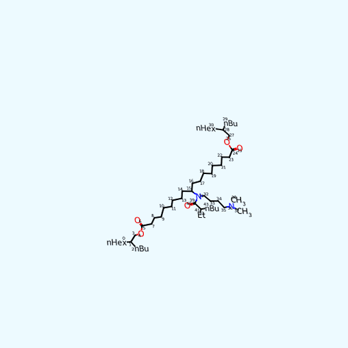 CCCCCCC(CCCC)COC(=O)CCCCCCCCC(CCCCCCCCC(=O)OCC(CCCC)CCCCCC)N(CCCCN(C)C)C(=O)C(CC)CCCC